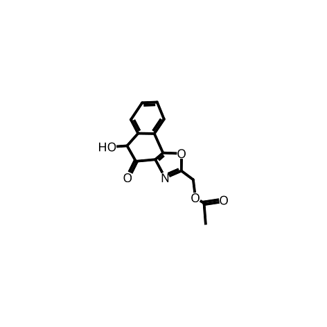 CC(=O)OCc1nc2c(o1)-c1ccccc1C(O)C2=O